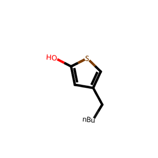 CCCCCc1csc(O)c1